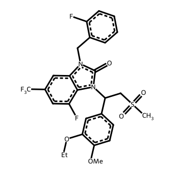 CCOc1cc(C(CS(C)(=O)=O)n2c(=O)n(Cc3ccccc3F)c3cc(C(F)(F)F)cc(F)c32)ccc1OC